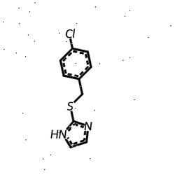 Clc1ccc(CSc2ncc[nH]2)cc1